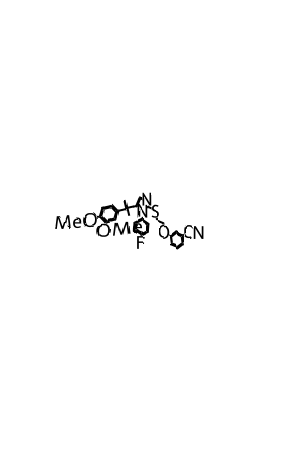 COc1ccc(C(C)(C)c2cnc(SCCOc3cccc(C#N)c3)n2-c2ccc(F)cc2)cc1OC